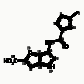 Cc1ccc(C(=O)Nc2n[nH]c3cc(C(=O)O)oc23)s1